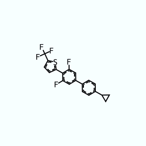 Fc1cc(-c2ccc(C3CC3)cc2)cc(F)c1-c1ccc(C(F)(F)F)s1